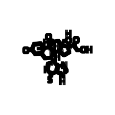 C[C@]12C=CC(=O)C=C1CC[C@@H]1[C@@H]2C(=O)C[C@@]2(C)[C@H]1CC[C@]2(O)C(=O)CO.S=c1nc[nH]c2nc[nH]c12